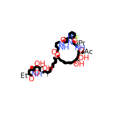 CC[C@H]1C[C@H](C)[C@@]2(NC1=O)O[C@@H](C[C@H](O)[C@@H](C)CC/C=C/C=C(\C)[C@@H]1C/C=C/C=C/[C@H](O)[C@H](C)[C@@H](O)[C@@H](CCC(C)=O)C(=O)N[C@@H](C(C)C)C(=O)N[C@@H]([C@@H](C)c3cccc(F)c3)C(=O)N3CCCC(N3)C(=O)O1)[C@H](C)[C@H](O)[C@@H]2C